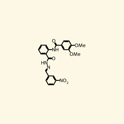 COc1ccc(C(=O)Nc2ccccc2C(=O)N/N=C/c2cccc([N+](=O)[O-])c2)cc1OC